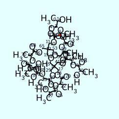 CC(O)C(=O)OC(C)C(=O)OCC(COCC(COC(=O)C(C)OC(=O)C(C)O)(COC(=O)C(C)OC(=O)C(C)O)COC(=O)C(C)OC(=O)C(C)O)(COC(=O)C(C)OC(=O)C(C)O)COC(=O)C(C)OC(=O)C(C)O